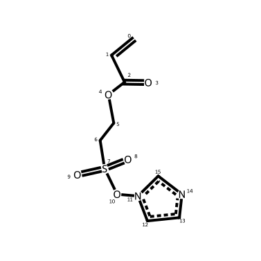 C=CC(=O)OCCS(=O)(=O)On1ccnc1